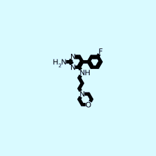 Nc1ncc(-c2cccc(F)c2)c(NCCCN2CCOCC2)n1